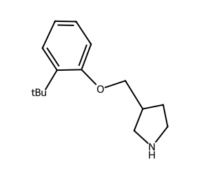 CC(C)(C)c1ccccc1OCC1CCNC1